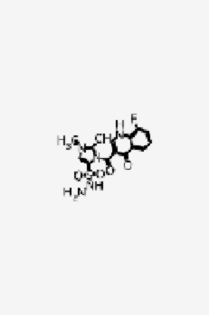 CC1N(C)C=C(S(=O)(=O)NN)N1C(=O)c1c[nH]c2c(F)cccc2c1=O